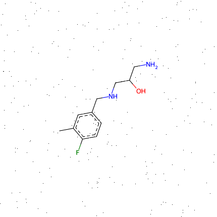 Cc1cc(CNCC(O)CN)ccc1F